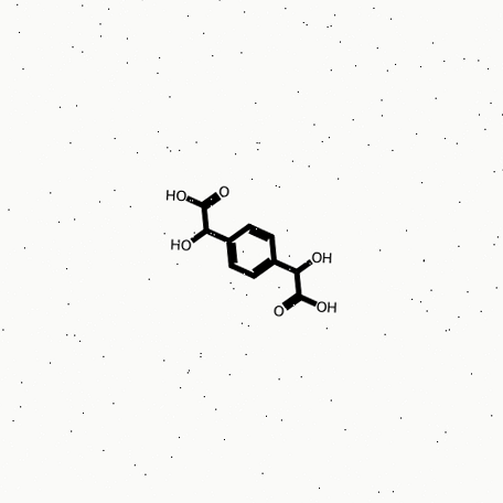 O=C(O)C(O)c1ccc(C(O)C(=O)O)cc1